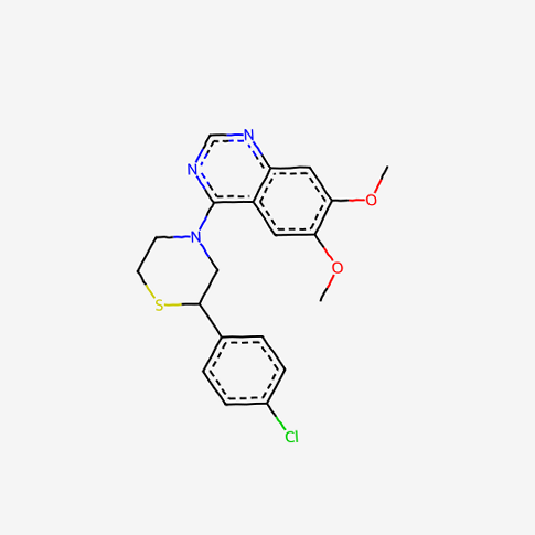 COc1cc2ncnc(N3CCSC(c4ccc(Cl)cc4)C3)c2cc1OC